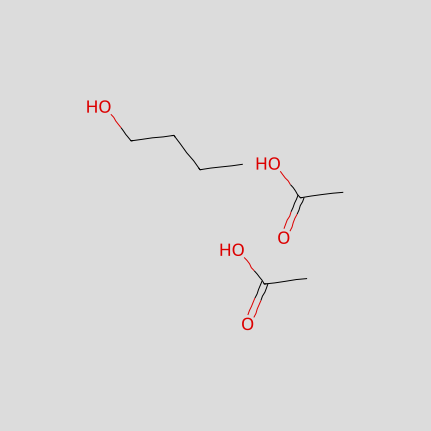 CC(=O)O.CC(=O)O.CCCCO